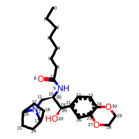 CCCCCCCC(=O)N[C@H](CN1C2CCC1CC2)[C@H](O)c1ccc2c(c1)OCCO2